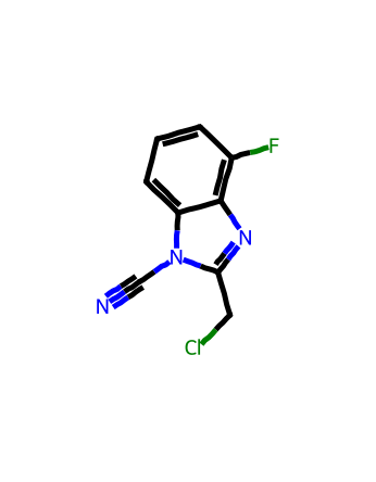 N#Cn1c(CCl)nc2c(F)cccc21